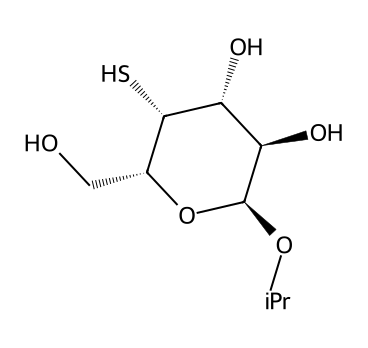 CC(C)O[C@H]1O[C@H](CO)[C@H](S)[C@H](O)[C@H]1O